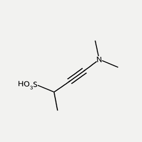 CC(C#CN(C)C)S(=O)(=O)O